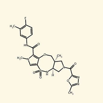 Cc1nnc(C(=O)N2C[C@H]3NS(=O)(=O)c4cn(C)c(C(=O)Nc5ccc(F)c(C)c5)c4OC[C@@]3(C)C2)o1